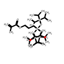 C=C(C)C(=O)OCCC[Si](O[Si](C(C)C)(C(C)C)C(C)C)(O[Si](C(C)C)(C(C)C)C(C)C)O[Si](C(C)C)(C(C)C)C(C)C